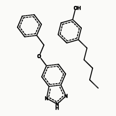 CCCCCc1cccc(O)c1.c1ccc(COc2ccc3n[nH]nc3c2)cc1